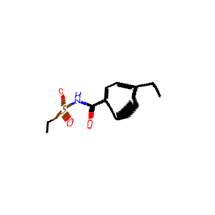 CCc1ccc(C(=O)NS(=O)(=O)CC)cc1